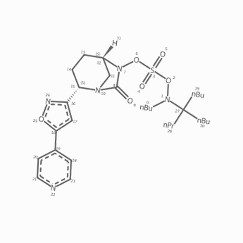 CCCCN(OS(=O)(=O)ON1C(=O)N2C[C@@H]1CC[C@H]2c1cc(-c2ccncc2)on1)C(CCC)(CCCC)CCCC